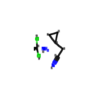 N.N#CCC1CC1.[Cl][Pt][Cl]